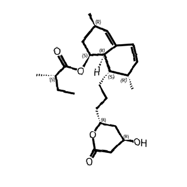 CC[C@H](C)C(=O)O[C@H]1C[C@@H](C)C=C2C=C[C@H](C)[C@H](CCC[C@@H]3C[C@@H](O)CC(=O)O3)[C@H]21